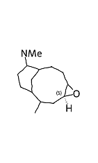 CNC1CCC2CC1CCC1O[C@H]1CC2C